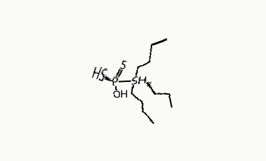 CCCC[SH2](CCCC)(CCCC)P(O)(=S)S